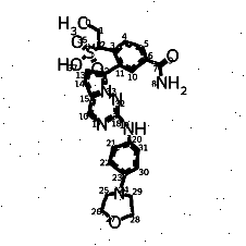 CCC(c1ccc(C(N)=O)cc1-c1ccc2cnc(Nc3ccc(N4CCOCC4)cc3)nn12)S(=O)(=O)O